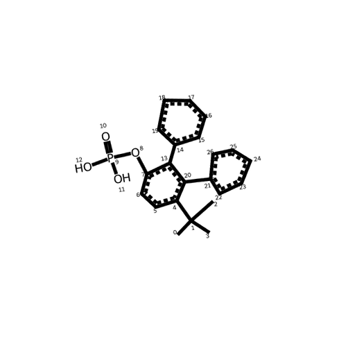 CC(C)(C)c1ccc(OP(=O)(O)O)c(-c2ccccc2)c1-c1ccccc1